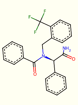 NC(=O)[C@@H](c1ccccc1)N(Cc1ccccc1C(F)(F)F)C(=O)c1ccccc1